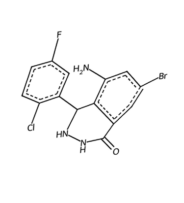 Nc1cc(Br)cc2c1C(c1cc(F)ccc1Cl)NNC2=O